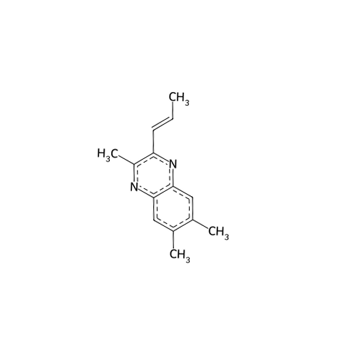 C/C=C/c1nc2cc(C)c(C)cc2nc1C